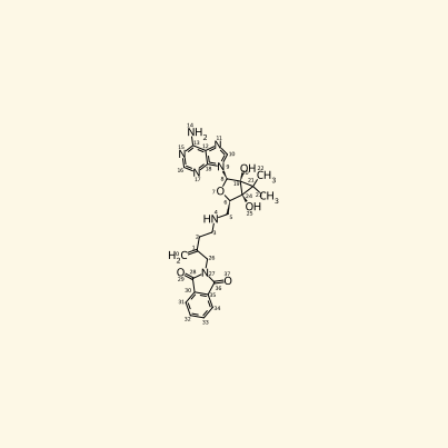 C=C(CCNC[C@H]1O[C@@H](n2cnc3c(N)ncnc32)[C@]2(O)C(C)(C)[C@]12O)CN1C(=O)c2ccccc2C1=O